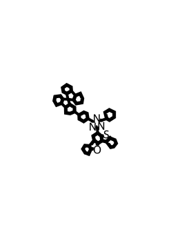 c1ccc(-c2nc(-c3ccc(-c4ccc5c(c4)C4(c6ccccc6-c6ccccc64)c4ccccc4-5)cc3)nc(-c3cc4c5ccccc5oc4c4c3sc3ccccc34)n2)cc1